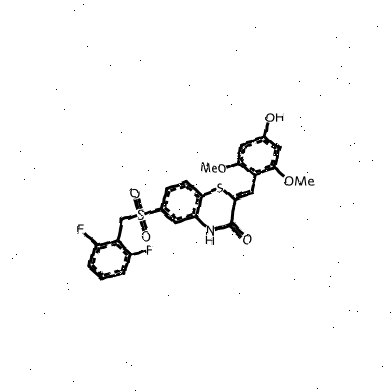 COc1cc(O)cc(OC)c1C=C1Sc2ccc(S(=O)(=O)Cc3c(F)cccc3F)cc2NC1=O